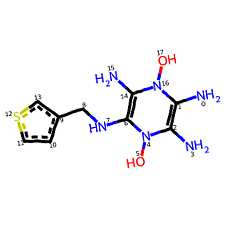 NC1=C(N)N(O)C(NCc2ccsc2)=C(N)N1O